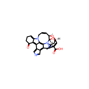 CO[C@H]1[C@@]2(C)/C=C\Cn3c4c(c5c6c(c7c(c53)[N@@+]1(N(C)CC(=O)O)C1=C7C=C[C@@H](C1)O2)C=NC=6)C(=O)CCC=4